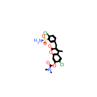 Cc1c(Cc2ccc(Cl)c(S(N)(=O)=O)c2)c(=O)oc2cc(OC(=O)N(C)C)c(Cl)cc12